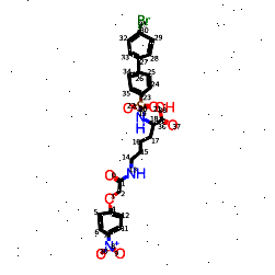 O=C(COc1ccc([N+](=O)[O-])cc1)NCCCCC(NS(=O)(=O)c1ccc(-c2ccc(Br)cc2)cc1)C(=O)O